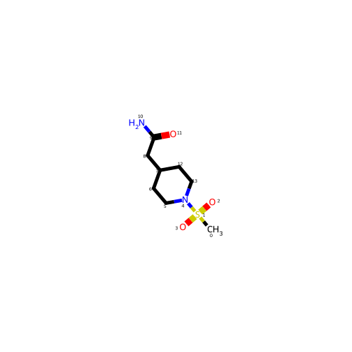 CS(=O)(=O)N1CCC(CC(N)=O)CC1